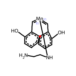 NCC[NH]/[Mn](=[CH]\c1ccccc1O)=[CH]/c1ccccc1O